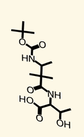 CC(O)C(NC(=O)C(C)(C)C(C)NC(=O)OC(C)(C)C)C(=O)O